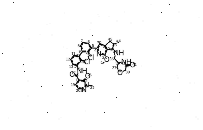 COc1nc(-c2cccc(-c3cccc(NC(=O)c4ccnn(C)c4=O)c3Cl)c2Cl)cc2c1C(NCC1COCC(=O)N1)C(C)C2